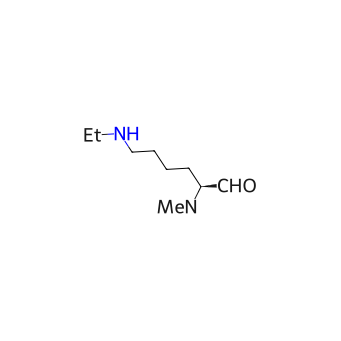 CCNCCCC[C@@H](C=O)NC